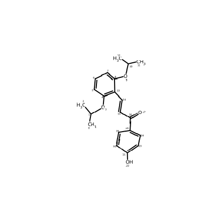 CC(C)Oc1cccc(OC(C)C)c1C=CC(=O)c1ccc(O)cc1